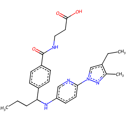 CCCC(Nc1ccc(-n2cc(CC)c(C)n2)nc1)c1ccc(C(=O)NCCC(=O)O)cc1